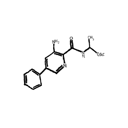 CC(=O)OC(C)NC(=O)c1ncc(-c2ccccc2)cc1N